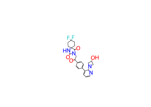 O=C(CN1C(=O)NC2(CCC(F)(F)CC2)C1=O)c1ccc(-c2cccnc2N2CC(O)C2)cc1